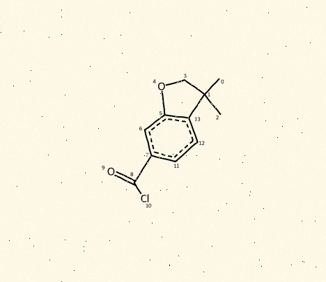 CC1(C)COc2cc(C(=O)Cl)ccc21